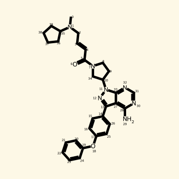 CN(CC=CC(=O)N1CCC(n2nc(-c3ccc(Oc4ccccc4)cc3)c3c(N)ncnc32)C1)C1CCCC1